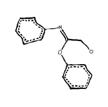 ClCC(=Nc1ccccc1)Oc1ccccc1